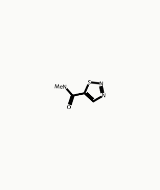 CNC(=O)c1cnns1